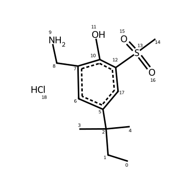 CCC(C)(C)c1cc(CN)c(O)c(S(C)(=O)=O)c1.Cl